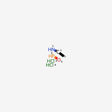 C=C=N.Cl.Cl.O=P